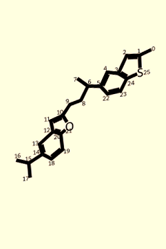 Cc1cc2cc(C(C)CCc3cc4cc(C(C)C)ccc4o3)ccc2s1